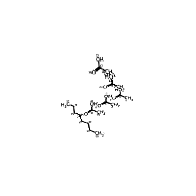 CC(=O)O.CC(=O)O.CC(=O)O.CC(=O)O.CC(=O)O.[CH2]CCCCCCC